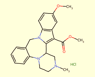 COC(=O)c1c2n(c3ccc(OC)cc13)Cc1ccccc1N1CCN(C)CC21.Cl